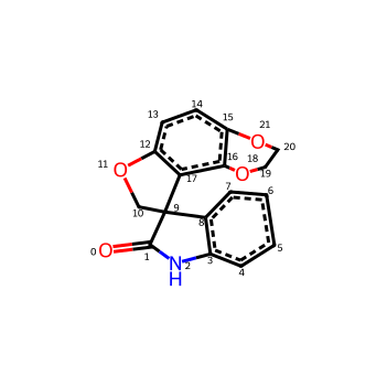 O=C1Nc2ccccc2C12COc1ccc3c(c12)OCCO3